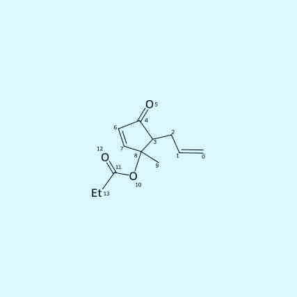 C=CCC1C(=O)C=CC1(C)OC(=O)CC